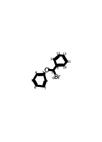 BrC(Oc1ccccc1)c1ccccc1